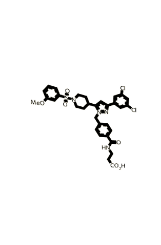 COc1cccc(S(=O)(=O)N2CCC(c3cc(-c4cc(Cl)cc(Cl)c4)nn3Cc3ccc(C(=O)NCCC(=O)O)cc3)CC2)c1